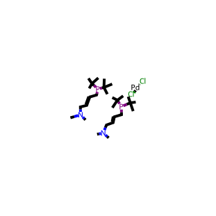 CN(C)CC=CCP(C(C)(C)C)C(C)(C)C.CN(C)CC=CCP(C(C)(C)C)C(C)(C)C.[Cl][Pd][Cl]